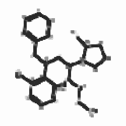 CC(C)(C)COCC(CN(Cc1ccccc1)c1c(Cl)cccc1Cl)N1CCCC1I